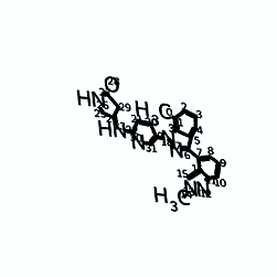 Cc1cccc2c(-c3cccc4nn(C)cc34)nn(-c3ccc(NC4CNC(=O)C4)nc3)c12